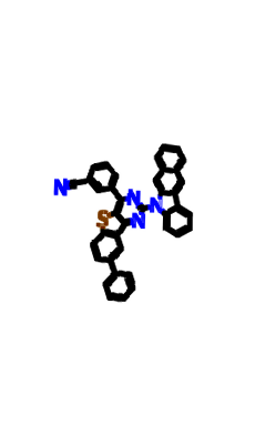 N#Cc1cccc(-c2nc(-n3c4ccccc4c4cc5ccccc5cc43)nc3c2sc2ccc(-c4ccccc4)cc23)c1